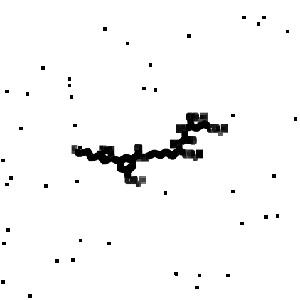 O=C(O)CCC(NC(=O)NC(CCCCNC(=O)c1cc(C(=O)O)cc(-n2cc(CCCF)nn2)c1)C(=O)O)C(=O)O